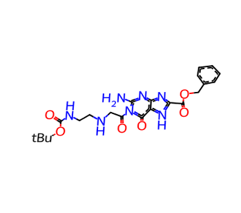 CC(C)(C)OC(=O)NCCNCC(=O)n1c(N)nc2nc(C(=O)OCc3ccccc3)[nH]c2c1=O